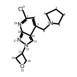 Clc1cc(CN2CCCC2)c2cn(C3COC3)nc2n1